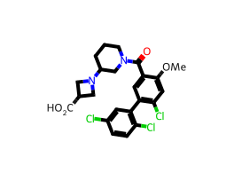 COc1cc(Cl)c(-c2cc(Cl)ccc2Cl)cc1C(=O)N1CCCC(N2CC(C(=O)O)C2)C1